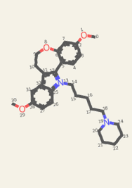 COc1ccc2c(c1)OCCc1c-2n(CCCCCN2CCCCC2)c2ccc(OC)cc12